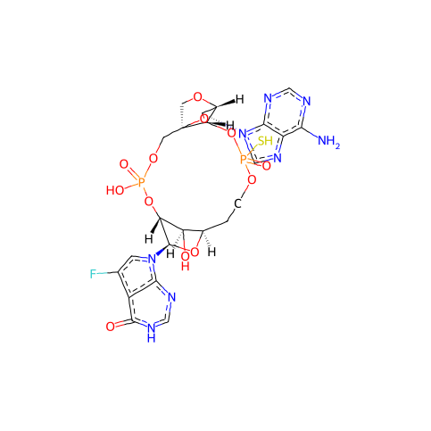 Nc1ncnc2c1ncn2[C@@H]1O[C@@]23CO[C@@H]1[C@@H]2OP(=O)(S)OCC[C@H]1O[C@@H](n2cc(F)c4c(=O)[nH]cnc42)[C@H](OP(=O)(O)OC3)[C@@H]1O